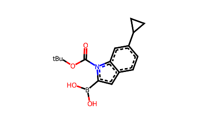 CC(C)(C)OC(=O)n1c(B(O)O)cc2ccc(C3CC3)cc21